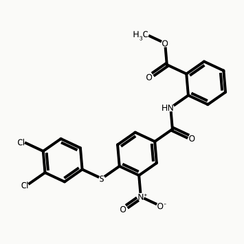 COC(=O)c1ccccc1NC(=O)c1ccc(Sc2ccc(Cl)c(Cl)c2)c([N+](=O)[O-])c1